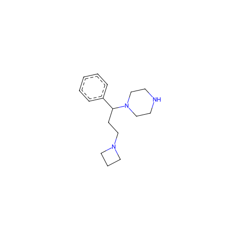 c1ccc(C(CCN2CCC2)N2CCNCC2)cc1